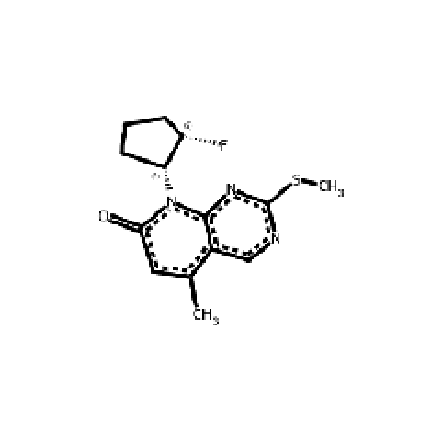 CSc1ncc2c(C)cc(=O)n([C@@H]3CCC[C@@H]3F)c2n1